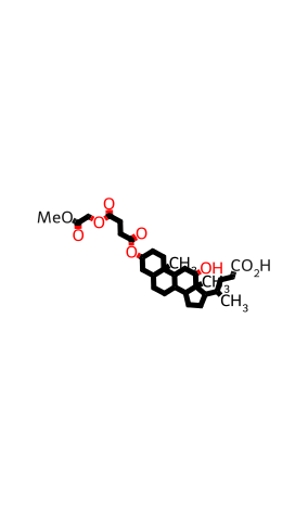 COC(=O)COC(=O)CCC(=O)OC1CCC2(C)C(CCC3C2CC(O)C2(C)C(C(C)CCC(=O)O)CCC32)C1